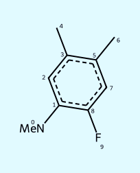 CNc1cc(C)c(C)cc1F